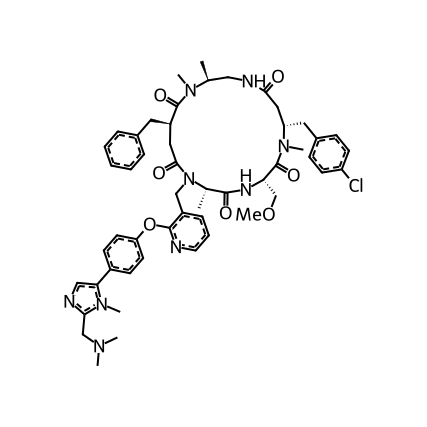 COC[C@@H]1NC(=O)[C@H](C)N(Cc2cccnc2Oc2ccc(-c3cnc(CN(C)C)n3C)cc2)C(=O)C[C@@H](Cc2ccccc2)C(=O)N(C)[C@@H](C)CNC(=O)C[C@H](Cc2ccc(Cl)cc2)N(C)C1=O